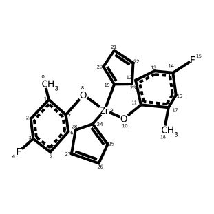 Cc1cc(F)ccc1[O][Zr]([O]c1ccc(F)cc1C)([C]1=CC=CC1)[C]1=CC=CC1